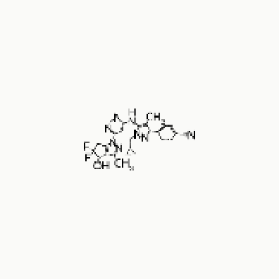 Cc1nn(-c2cc(Nc3c(C)c(-c4ccc(C#N)cc4)nn3CC3CC3)ncn2)c2c1C(O)C(F)(F)C2